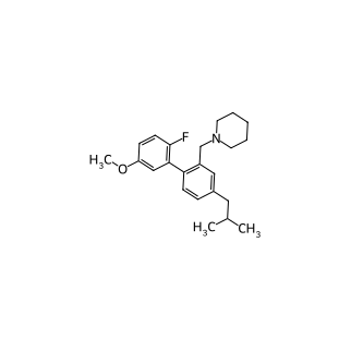 COc1ccc(F)c(-c2ccc(CC(C)C)cc2CN2CCCCC2)c1